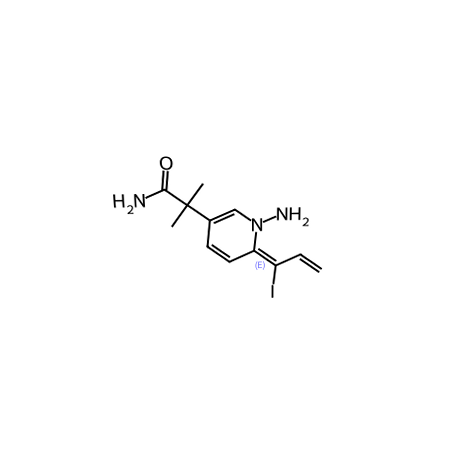 C=C/C(I)=C1/C=CC(C(C)(C)C(N)=O)=CN1N